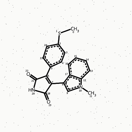 CSc1ccc(C2=C(c3cn(C)c4ccccc34)C(=O)NC2=O)cc1